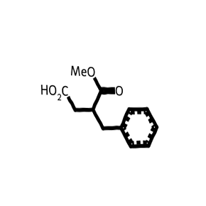 COC(=O)C(CC(=O)O)Cc1ccccc1